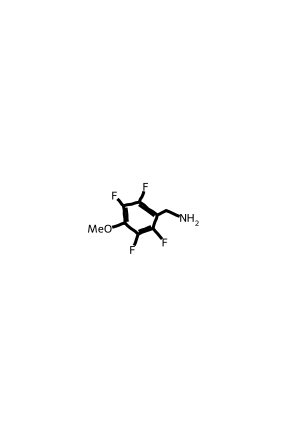 COc1c(F)c(F)c(CN)c(F)c1F